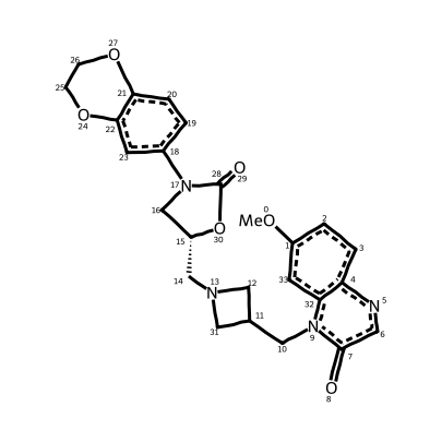 COc1ccc2ncc(=O)n(CC3CN(C[C@@H]4CN(c5ccc6c(c5)OCCO6)C(=O)O4)C3)c2c1